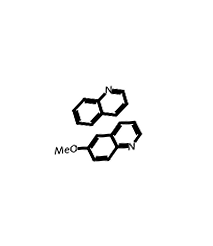 COc1ccc2ncccc2c1.c1ccc2ncccc2c1